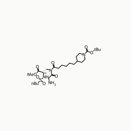 CCCCS(=O)(=O)N[C@@H](CN(C(=O)CN)C(=O)CCCCCC1CCN(C(=O)OC(C)(C)C)CC1)C(=O)OC